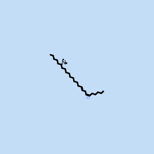 CCCCC/C=C\CC=CCCCCCCCCCC(CCCCC)N(C)C